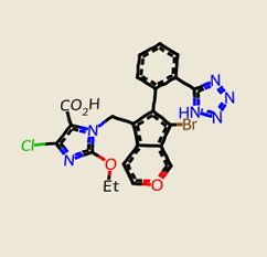 CCOc1nc(Cl)c(C(=O)O)n1Cc1c2ccocc-2c(Br)c1-c1ccccc1-c1nnn[nH]1